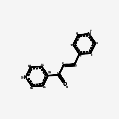 O=C(C=Cc1ccncc1)c1ccncc1